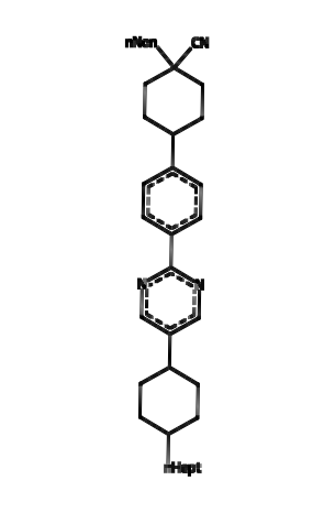 CCCCCCCCCC1(C#N)CCC(c2ccc(-c3ncc(C4CCC(CCCCCCC)CC4)cn3)cc2)CC1